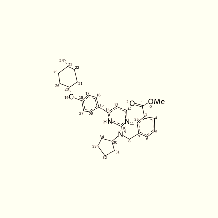 COC(=O)c1cccc(CN(c2nccc(-c3ccc(O[C@H]4CC[C@@H](C)CC4)cc3)n2)C2CCCC2)c1